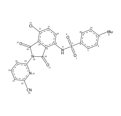 CC(C)(C)c1ccc(S(=O)(=O)Nc2ccc(Cl)c3c2C(=O)N(c2cccc(C#N)n2)C3=O)cc1